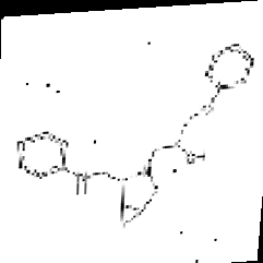 OC(COc1ccccc1)CN1CC2CC2C1CNc1ccccc1